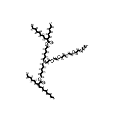 CCCCCCCCC(CCCCCC)C(=O)OCCCCCCN(CCCCCCOC(=O)C(CCCCCC)CCCCCCCC)CCOCCOCCOCCOCCN=[N+]=[N-]